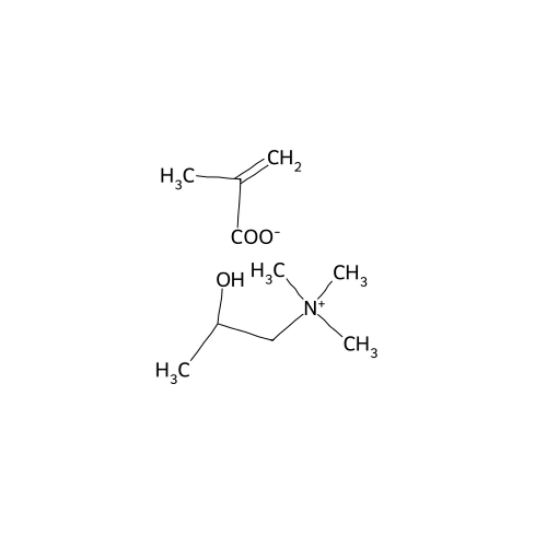 C=C(C)C(=O)[O-].CC(O)C[N+](C)(C)C